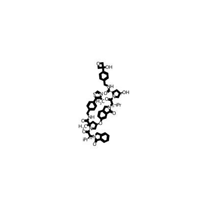 Cc1ncsc1-c1ccc(CNC(=O)C2(C)C[C@@H](Oc3ccc4c(c3)C(=O)N([C@H](C(=O)N3C[C@H](O)C[C@H]3C(=O)NCc3ccc(C5(O)COC5)cc3)C(C)C)C4)CN2C(=O)[C@H](C(C)C)N2Cc3ccccc3C2=O)cc1